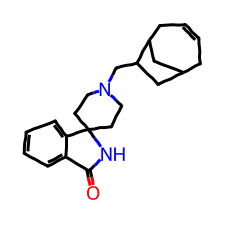 O=C1NC2(CCN(CC3CC4CC=CCC3C4)CC2)c2ccccc21